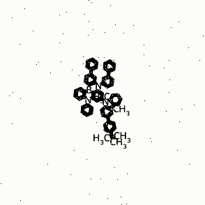 CC(C)(C)c1ccc(-c2ccc3c(c2)C2(C)CCCCC2(C)N3c2cc3c4c(c2)N(c2cccc(-c5ccccc5)c2)c2cc(-c5ccccc5)ccc2B4c2ccccc2N3c2ccccc2)cc1